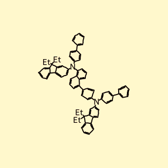 CCC1(CC)c2ccccc2-c2ccc(N(c3ccc(-c4ccccc4)cc3)c3ccc(-c4cccc5c(N(c6ccc(-c7ccccc7)cc6)c6ccc7c(c6)C(CC)(CC)c6ccccc6-7)cccc45)cc3)cc21